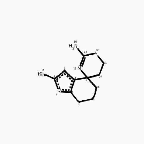 CC(C)(C)c1cc2c(s1)CCCC21CCSC(N)=N1